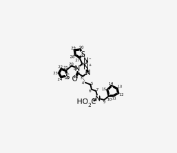 [N-]=[N+]=N[C@H](CCCCN(Cc1ccccc1)C(=O)O)C(=O)N(Cc1cccs1)Cc1cccs1